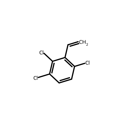 C=Cc1c(Cl)ccc(Cl)c1Cl